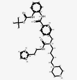 CC(C)(C)OC(=O)Nc1ccccc1NC(=O)c1ccc(CN(CCCCN2CCOCC2)C(=O)NCCc2nccs2)cn1